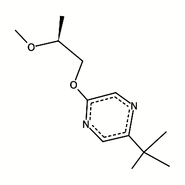 CO[C@@H](C)COc1cnc(C(C)(C)C)cn1